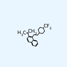 C=C(C)c1ccc2ccccc2c1CCC1CCC(C(F)(F)F)CC1